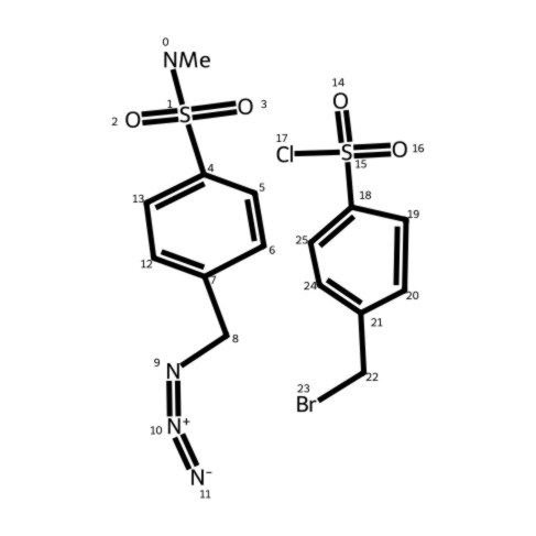 CNS(=O)(=O)c1ccc(CN=[N+]=[N-])cc1.O=S(=O)(Cl)c1ccc(CBr)cc1